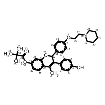 CC1=C(c2ccc(O)cc2)C(c2ccc(OCCN3CCCCC3)cc2)Oc2cc(OC(=O)C(C)(C)C)ccc21